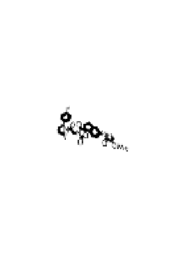 CO[C@@H](C)C(=O)Nc1ccc2c(c1)CCC21OC(=O)N(CC(=O)N2[C@@H](C)CC[C@H]2c2ccc(F)cc2)C1=O